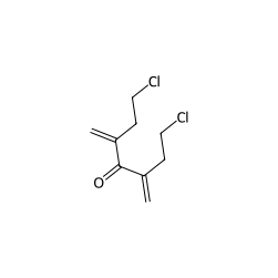 C=C(CCCl)C(=O)C(=C)CCCl